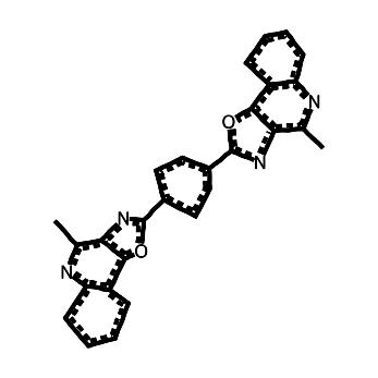 Cc1nc2ccccc2c2oc(-c3ccc(-c4nc5c(C)nc6ccccc6c5o4)cc3)nc12